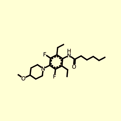 CCCCCC(=O)Nc1c(CC)c(F)c(N2CCC(OC)CC2)c(F)c1CC